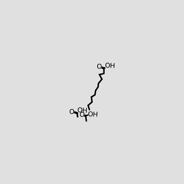 CC(=O)O.CC(=O)O.CCCCCCCCCCCC(=O)O